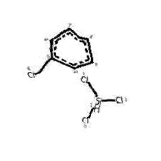 Cl[SiH](Cl)Cl.Clc1ccccc1